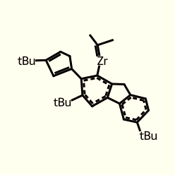 C[C](C)=[Zr][c]1c2c(cc(C(C)(C)C)c1C1=CC(C(C)(C)C)=CC1)-c1cc(C(C)(C)C)ccc1C2